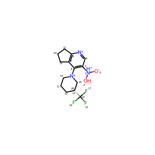 [O-][NH+](O)c1cnc2c(c1N1CCC[C@@H](C(F)(F)F)C1)CCC2